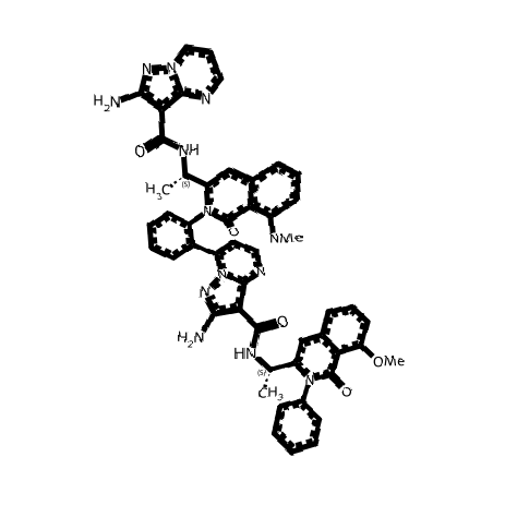 CNc1cccc2cc([C@H](C)NC(=O)c3c(N)nn4cccnc34)n(-c3ccccc3-c3ccnc4c(C(=O)N[C@@H](C)c5cc6cccc(OC)c6c(=O)n5-c5ccccc5)c(N)nn34)c(=O)c12